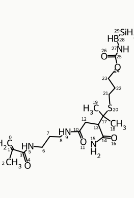 C=C(C)C(=O)NCCCNC(=O)CC(C(N)=O)C(C)(C)SCCCOC(=O)NB[SiH3]